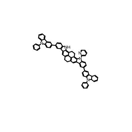 C1=CC2c3cc(-c4ccc5c(c4)c4cc6c7c(c4n5-c4ccccn4)CCc4c-7c(cc5c4[nH]c4ccc(-c7ccc8c(c7)c7ccccc7n8-c7ccccc7)cc45)CC6)ccc3N(c3ccccc3)C2C=C1